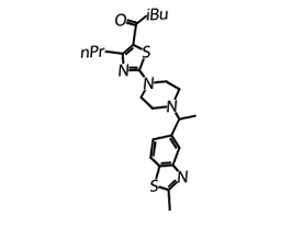 CCCc1nc(N2CCN(C(C)c3ccc4sc(C)nc4c3)CC2)sc1C(=O)C(C)CC